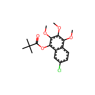 COc1c(OC)c(OC(=O)C(C)(C)C)c2cc(Cl)ccc2c1OC